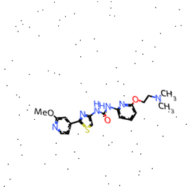 COc1cc(-c2nc(NC(=O)Nc3cccc(OCCN(C)C)n3)cs2)ccn1